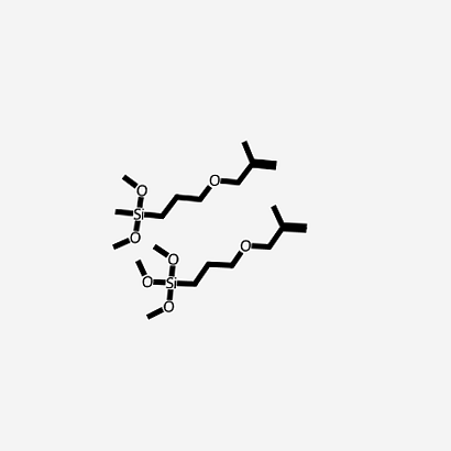 C=C(C)COCCC[Si](C)(OC)OC.C=C(C)COCCC[Si](OC)(OC)OC